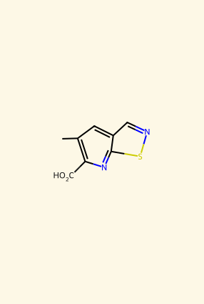 Cc1cc2cnsc2nc1C(=O)O